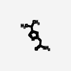 CC(C)c1cnn(CC(N)=O)c1